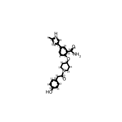 Cc1nc(-c2ccc(OC3CCN(C(=O)Cc4ccc(O)cc4)CC3)c(C(N)=O)c2)c[nH]1